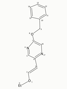 CCOC=Cc1cnc(OCc2ccccc2)cn1